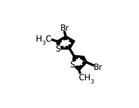 Cc1sc(-c2cc(Br)c(C)s2)cc1Br